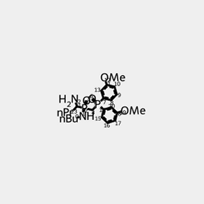 CCCCNP(=O)(CP(=O)(c1cccc(OC)c1)c1cccc(OC)c1)C(N)CCC